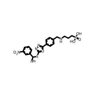 CCCC(Sc1nnc(-c2ccc(CNCCCP(=O)(O)O)cc2)o1)c1cccc([N+](=O)[O-])c1